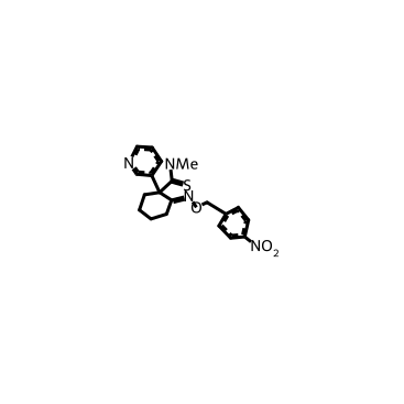 CNC(=S)C1(c2cccnc2)CCCCC1=NOCc1ccc([N+](=O)[O-])cc1